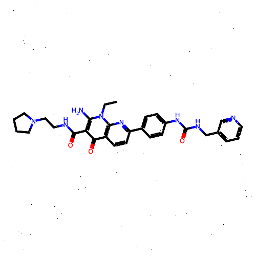 CCn1c(N)c(C(=O)NCCN2CCCC2)c(=O)c2ccc(-c3ccc(NC(=O)NCc4cccnc4)cc3)nc21